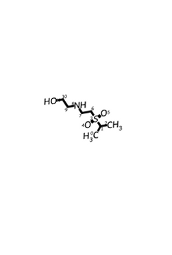 CC(C)S(=O)(=O)CCNCCO